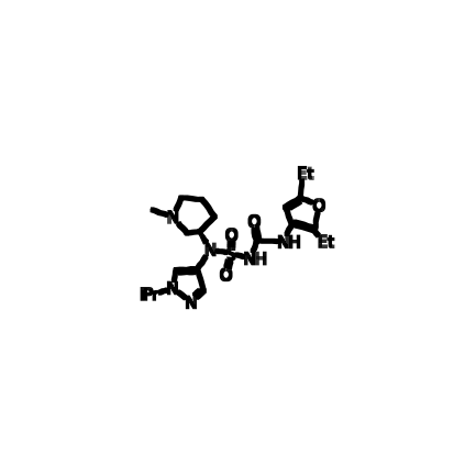 CCc1cc(NC(=O)NS(=O)(=O)N(c2cnn(C(C)C)c2)[C@@H]2CCCN(C)C2)c(CC)o1